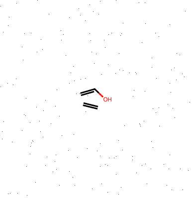 C=C.C=CO